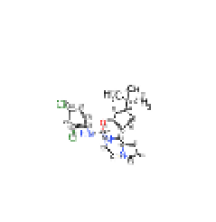 CC(C)(C)c1ccc(C2c3cccn3CCN2C(=O)Nc2ccc(Cl)cc2Cl)cc1